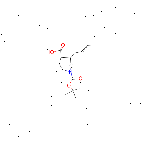 CC=CCC1CN(C(=O)OC(C)(C)C)CCC1C(=O)O